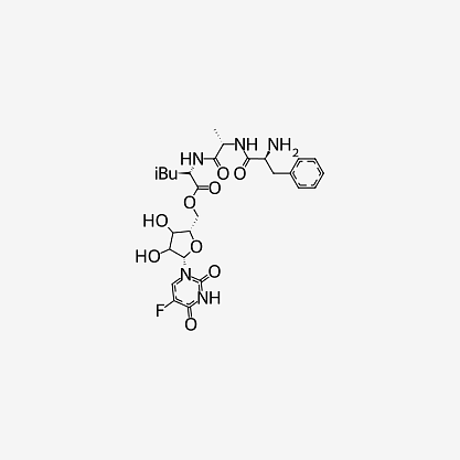 CC[C@H](C)[C@H](NC(=O)[C@H](C)NC(=O)[C@@H](N)Cc1ccccc1)C(=O)OC[C@@H]1O[C@H](n2cc(F)c(=O)[nH]c2=O)C(O)C1O